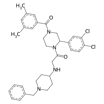 Cc1cc(C)cc(C(=O)N2CCN(C(=O)CNC3CCN(Cc4ccccc4)CC3)C(c3ccc(Cl)c(Cl)c3)C2)c1